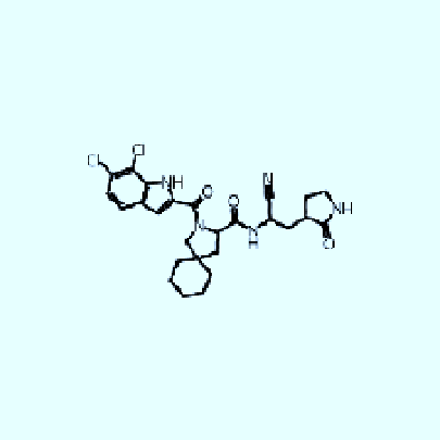 N#CC(CC1CCNC1=O)NC(=O)C1CC2(CCCCC2)CN1C(=O)c1cc2ccc(Cl)c(Cl)c2[nH]1